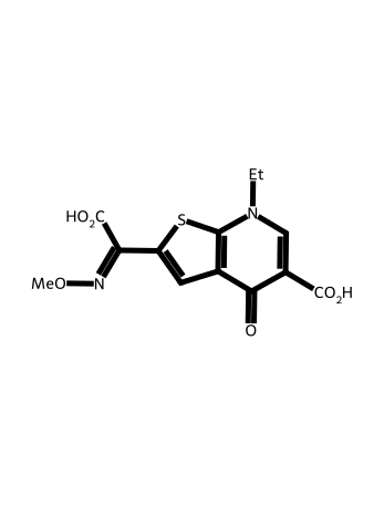 CCn1cc(C(=O)O)c(=O)c2cc(C(=NOC)C(=O)O)sc21